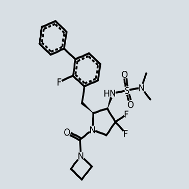 CN(C)S(=O)(=O)N[C@@H]1[C@H](Cc2cccc(-c3ccccc3)c2F)N(C(=O)N2CCC2)CC1(F)F